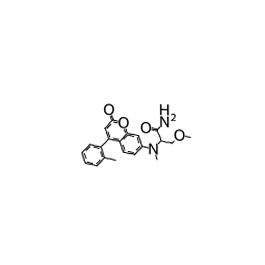 COCC(C(N)=O)N(C)c1ccc2c(-c3ccccc3C)cc(=O)oc2c1